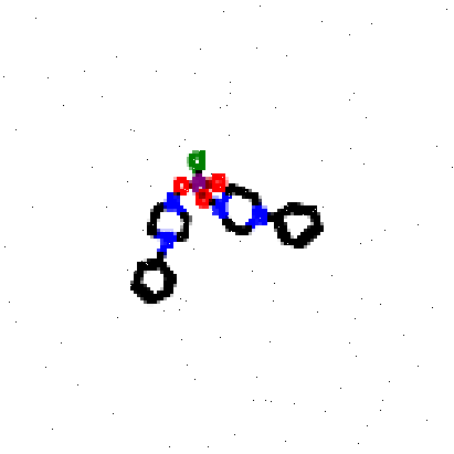 O=P(Cl)(ON1CCN(c2ccccc2)CC1)ON1CCN(c2ccccc2)CC1